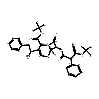 CC(C)(C)OC(=O)C(C(=O)NC1C(=O)N2C(C(=O)OC(C)(C)C)C(C(O)Cc3ccccc3)=CS[C@@H]12)c1ccccc1